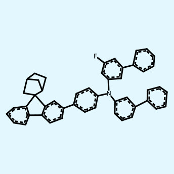 Fc1cc(-c2ccccc2)cc(N(c2ccc(-c3ccc4c(c3)C3(CC5CCC3C5)c3ccccc3-4)cc2)c2cccc(-c3ccccc3)c2)c1